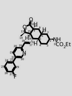 CCOC(=O)N[C@H]1CC[C@@H]2[C@@H](C1)C[C@@H]1C(=O)O[C@H](C)[C@@H]1[C@H]2/C=C/c1ccc(-c2cccc(F)c2)cn1